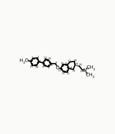 Cc1ccc(-c2ccc(COc3ccc4c(c3)CC[C@@H](CCN(C)C)C4)cc2)cc1